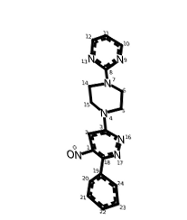 O=Nc1cc(N2CCN(c3ncccn3)CC2)nnc1-c1ccccc1